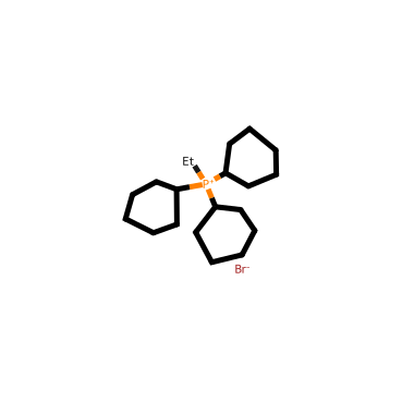 CC[P+](C1CCCCC1)(C1CCCCC1)C1CCCCC1.[Br-]